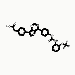 O=C(O)Cc1ccc(-c2csc3c(-c4ccc(NC(=O)Nc5ccccc5OC(F)(F)F)cc4)ncnc23)cc1